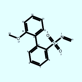 C=NS(=O)(=O)c1ccccc1-c1ccccc1OC